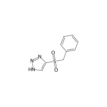 O=S(=O)(Cc1ccccc1)c1c[nH]nn1